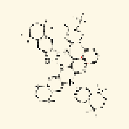 Cc1cc2c3c(c1)N(c1cc(C)c(C(C)(C)C)cc1-c1ccccc1)c1c(oc4cc5c(cc14)C(C)(C)CCC5(C)C)B3c1cc3c(cc1N2c1ccc2c(c1)C(C)(C)CCC2(C)C)C(C)(C)CCC3(C)C